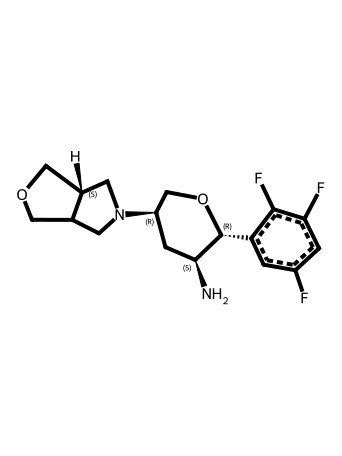 N[C@H]1C[C@@H](N2CC3COC[C@@H]3C2)CO[C@@H]1c1cc(F)cc(F)c1F